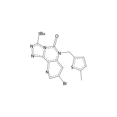 Cc1ccc(Cn2c(=O)n3c(C(C)(C)C)nnc3c3ncc(Br)cc32)s1